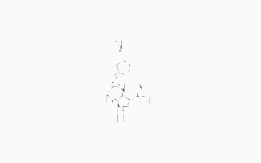 N#Cc1cccc(Oc2cnc3[nH]cc(C(=O)O)c3n2)c1